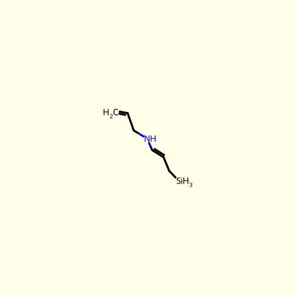 C=CCNC=CC[SiH3]